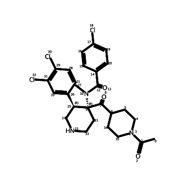 CC(=O)N1CCC(C(=O)[C@@]2(N(C)C(=O)c3ccc(Cl)cc3)CCNC[C@H]2c2ccc(Cl)c(Cl)c2)CC1